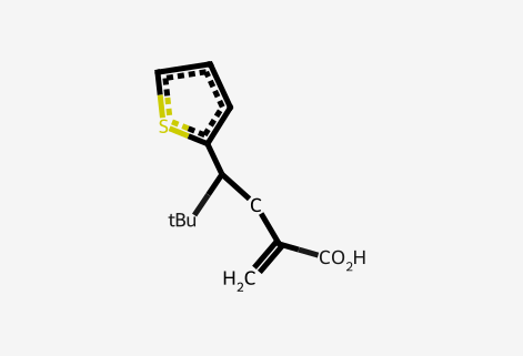 C=C(CC(c1cccs1)C(C)(C)C)C(=O)O